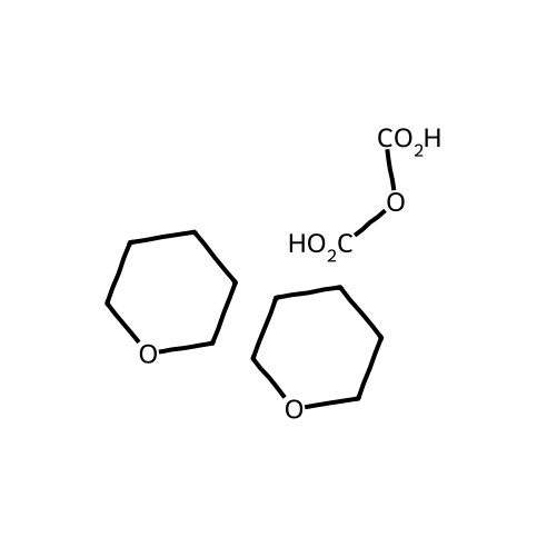 C1CCOCC1.C1CCOCC1.O=C(O)OC(=O)O